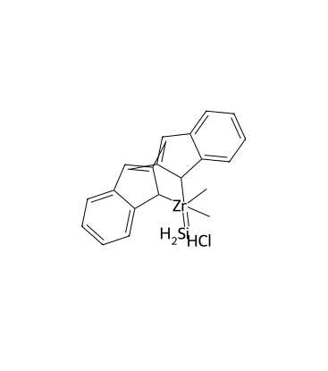 CC1=Cc2ccccc2[CH]1[Zr]([CH3])([CH3])(=[SiH2])[CH]1C(C)=Cc2ccccc21.Cl